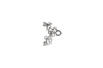 [O-]P([O-])[O-].[O-]P([O-])[O-].[Zn+2].[Zn+2].[Zn+2].c1ccc2[nH]c(-c3nccs3)nc2c1